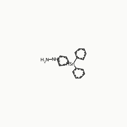 NN.c1cc[c]([SnH]([c]2ccccc2)[c]2ccccc2)cc1